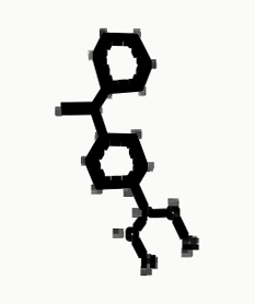 C=C(c1ccccc1)c1ccc(P(OCC)OCC)cc1